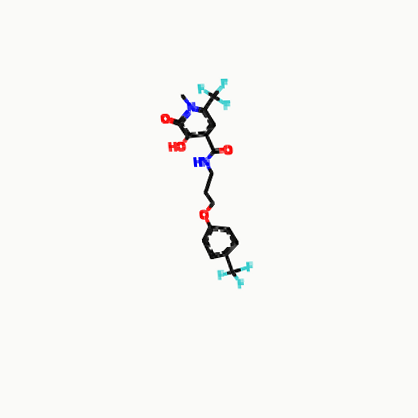 Cn1c(C(F)(F)F)cc(C(=O)NCCCOc2ccc(C(F)(F)F)cc2)c(O)c1=O